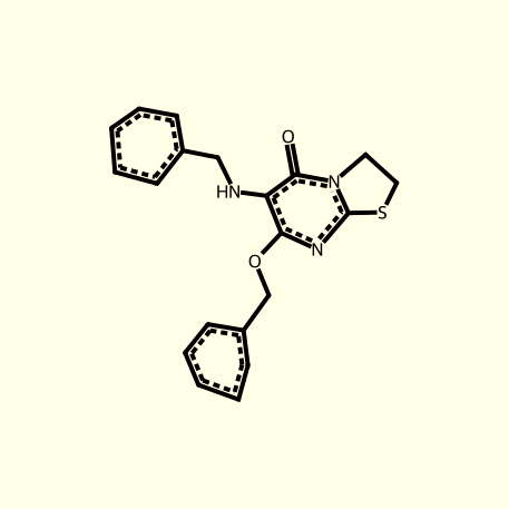 O=c1c(NCc2ccccc2)c(OCc2ccccc2)nc2n1CCS2